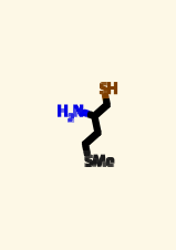 CSCCC(N)CS